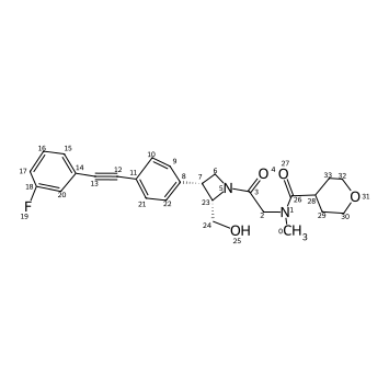 CN(CC(=O)N1C[C@@H](c2ccc(C#Cc3cccc(F)c3)cc2)[C@H]1CO)C(=O)C1CCOCC1